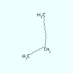 [CH2]CCCCCCCCCCCCCCCCCC(C)CCCCCCCCC[CH2]